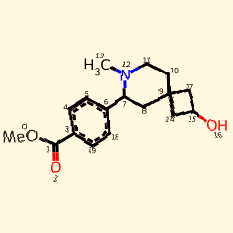 COC(=O)c1ccc(C2CC3(CCN2C)CC(O)C3)cc1